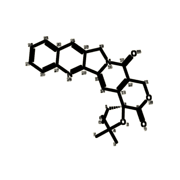 CC[C@@]1(OC(C)(C)C)C(=O)OCc2c1cc1n(c2=O)Cc2cc3ccccc3nc2-1